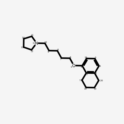 c1cc2c(c(OCCCCCN3CCCC3)c1)CCCC2